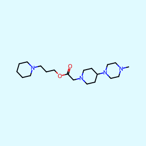 CN1CCN(C2CCN(CC(=O)OCCCN3CCCCC3)CC2)CC1